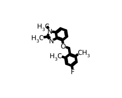 Cc1cc(F)cc(C)c1COc1cccc2c1nc(C)n2C